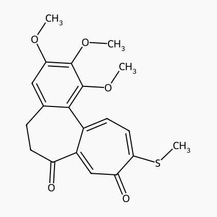 COc1cc2c(c(OC)c1OC)-c1ccc(SC)c(=O)cc1C(=O)CC2